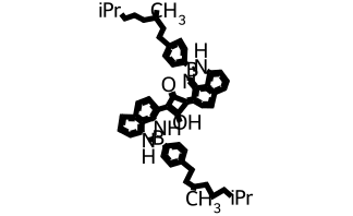 CC(C)CCCC(C)CCc1ccc(B2N=c3/c(=C4\C(=O)C(c5ccc6cccc7c6c5NB(c5ccc(CCC(C)CCCC(C)C)cc5)N7)=C4O)ccc4cccc(c34)N2)cc1